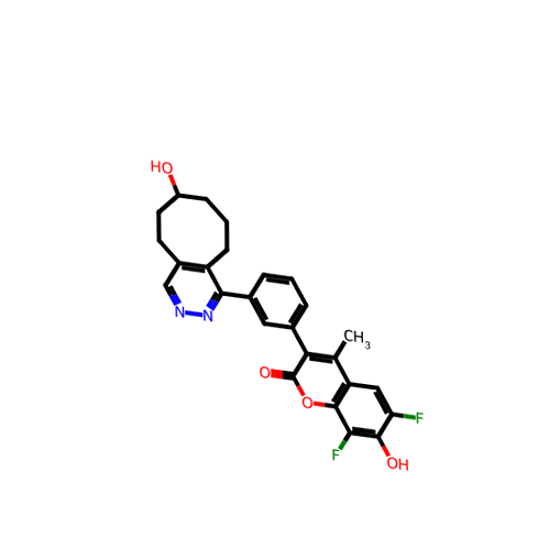 Cc1c(-c2cccc(-c3nncc4c3CCCC(O)CC4)c2)c(=O)oc2c(F)c(O)c(F)cc12